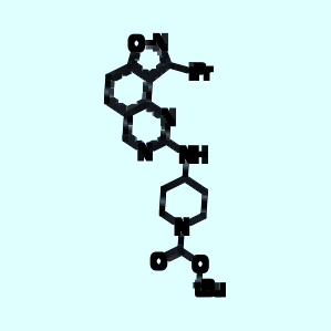 CC(C)c1noc2ccc3cnc(NC4CCN(C(=O)OC(C)(C)C)CC4)nc3c12